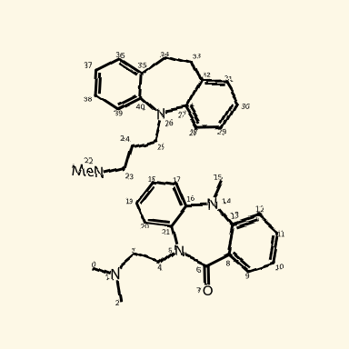 CN(C)CCN1C(=O)c2ccccc2N(C)c2ccccc21.CNCCCN1c2ccccc2CCc2ccccc21